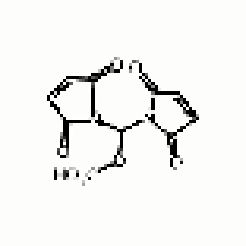 O=C(O)OC(N1C(=O)C=CC1=O)N1C(=O)C=CC1=O